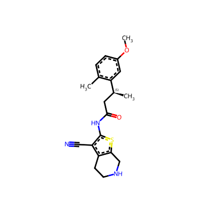 COc1ccc(C)c([C@@H](C)CC(=O)Nc2sc3c(c2C#N)CCNC3)c1